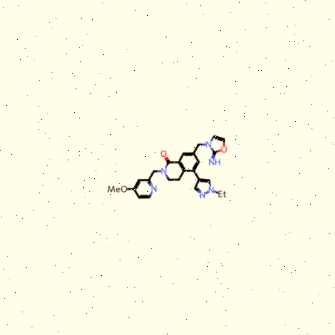 CCn1cc(-c2cc(Cn3ccoc3=N)cc3c2CCN(Cc2cc(OC)ccn2)C3=O)cn1